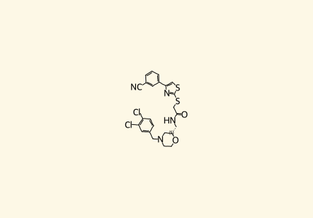 N#Cc1cccc(-c2csc(SCC(=O)NC[C@H]3CN(Cc4ccc(Cl)c(Cl)c4)CCO3)n2)c1